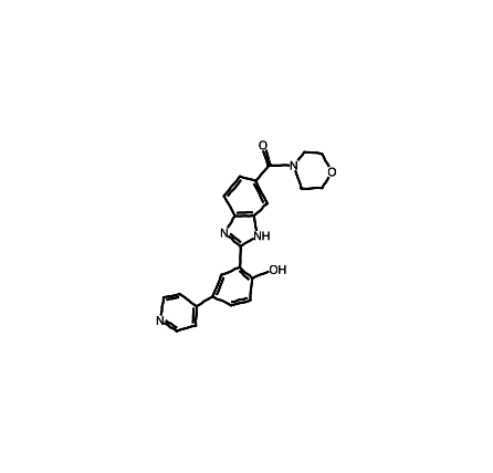 O=C(c1ccc2nc(-c3cc(-c4ccncc4)ccc3O)[nH]c2c1)N1CCOCC1